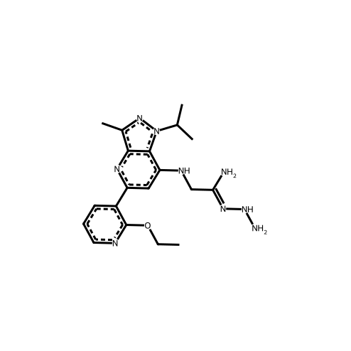 CCOc1ncccc1-c1cc(NC/C(N)=N/NN)c2c(n1)c(C)nn2C(C)C